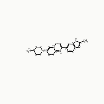 Cc1nc2ccc(C3=CCN4C=C(N5CCC(N)CC5)C=CC4=N3)cc2s1